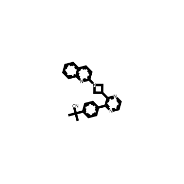 CC(C)(C#N)c1ccc(-c2nccnc2C2CN(c3ccc4ccccc4n3)C2)cc1